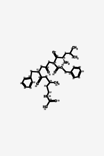 CC(C)C[C@H](N)C(=O)N(CC(=O)CN(Cc1ccccc1)C(=O)CC(C)CCNC(=O)O)C(=O)OCc1ccccc1